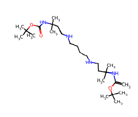 C=C(NC(C)(C)CCNCCCCNCCC(C)(C)NC(=O)OC(C)(C)C)OC(C)(C)C